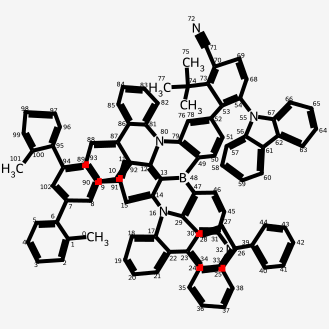 Cc1ccccc1-c1cc(-c2cc3c4c(c2)N(c2ccccc2-c2ccccc2)c2cc(N(c5ccccc5)c5ccccc5)ccc2B4c2ccc(-c4c(-n5c6ccccc6c6ccccc65)ccc(C#N)c4C(C)(C)C)cc2N3c2ccccc2-c2ccccc2)cc(-c2ccccc2C)c1